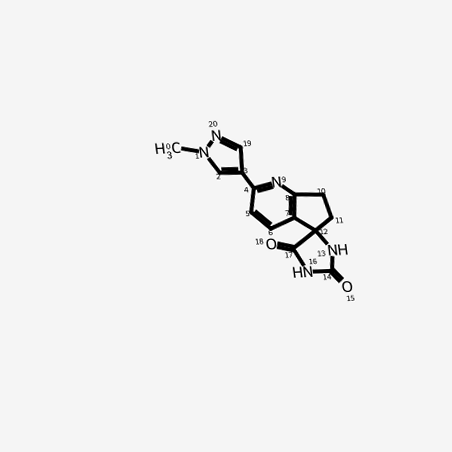 Cn1cc(-c2ccc3c(n2)CCC32NC(=O)NC2=O)cn1